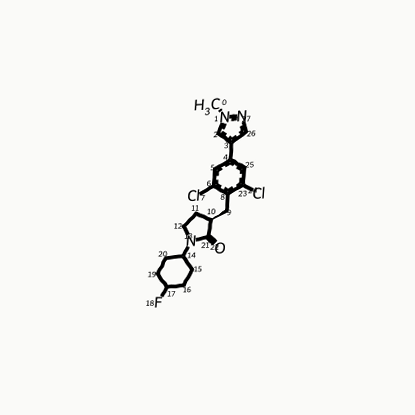 Cn1cc(-c2cc(Cl)c(C[C@@H]3CCN(C4CCC(F)CC4)C3=O)c(Cl)c2)cn1